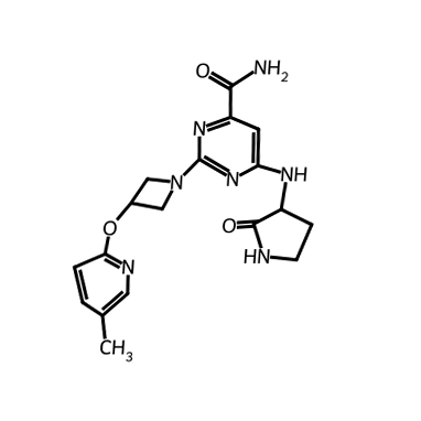 Cc1ccc(OC2CN(c3nc(NC4CCNC4=O)cc(C(N)=O)n3)C2)nc1